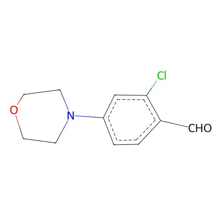 O=Cc1ccc(N2CCOCC2)cc1Cl